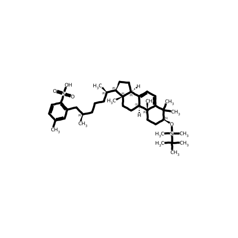 Cc1ccc(S(=O)(=O)O)c(C[C@H](C)CCC[C@@H](C)[C@H]2CC[C@H]3C4=CC=C5C(C)(C)[C@@H](O[Si](C)(C)C(C)(C)C)CC[C@]5(C)[C@H]4CC[C@]23C)c1